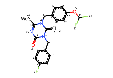 C=C1N(Cc2ccc(F)cc2)C(=O)N=C(SC)N1Cc1ccc(OC(F)F)cc1